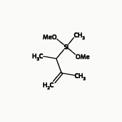 C=C(C)C(C)[Si](C)(OC)OC